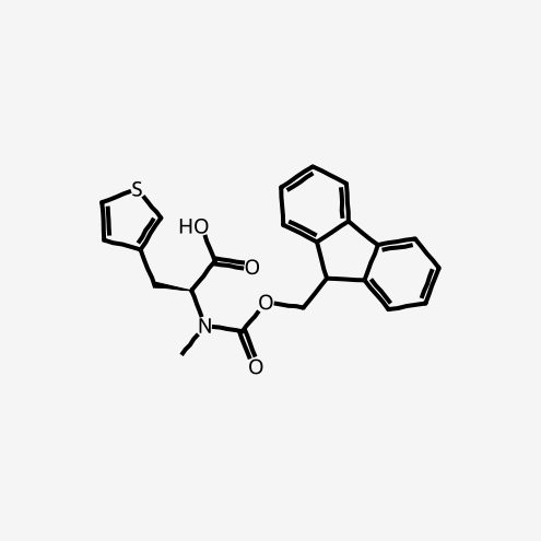 CN(C(=O)OCC1c2ccccc2-c2ccccc21)[C@@H](Cc1ccsc1)C(=O)O